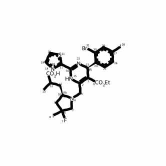 CCOC(=O)C1=C(CN2CC(F)(I)C[C@H]2CC(C)C(=O)O)NC(c2nccs2)=N[C@H]1c1ccc(I)cc1Br